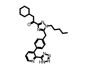 CCCCCn1nc(C(=O)CC2CCCCC2)nc1Cc1ccc(-c2cccnc2-c2nnn[nH]2)cc1